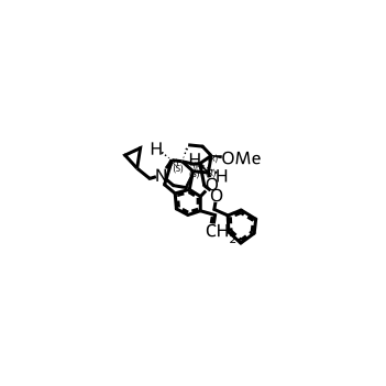 C=Cc1ccc2c3c1O[C@H]1[C@@]4(OC)CC[C@@]5(C[C@@H]4COCc4ccccc4)[C@@H](C2)N(CC2CC2)CC[C@]315